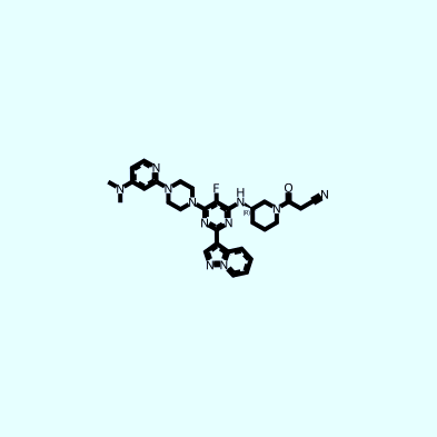 CN(C)c1ccnc(N2CCN(c3nc(-c4cnn5ccccc45)nc(N[C@@H]4CCCN(C(=O)CC#N)C4)c3F)CC2)c1